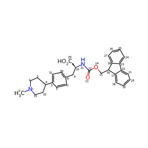 CN1CCC(c2ccc(C[C@H](NC(=O)OCC3c4ccccc4-c4ccccc43)C(=O)O)cc2)CC1